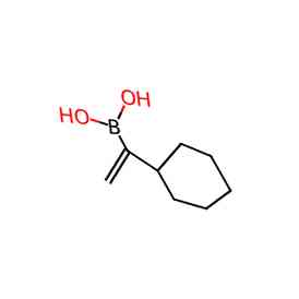 C=C(B(O)O)C1CCCCC1